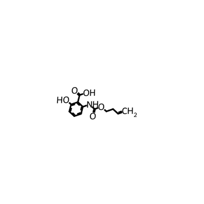 C=CCCOC(=O)Nc1cccc(O)c1C(=O)O